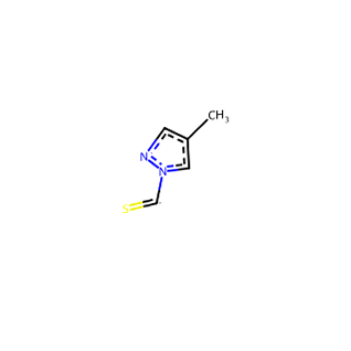 Cc1cnn([C]=S)c1